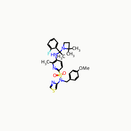 COc1ccc(CN(c2cscn2)S(=O)(=O)c2ccc(NC(C)(c3ccccc3F)N3CCC3(C)C)c(C)n2)cc1